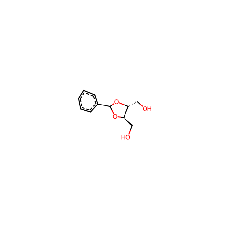 OC[C@H]1OC(c2ccccc2)O[C@@H]1CO